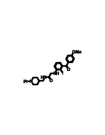 COc1ccc(C(=O)c2cccc(NCC(=O)NCC3CCN(C(C)C)CC3)c2I)cc1